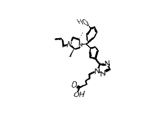 C=CCN1C[C@H](C)N([C@H](c2ccc(-c3ncnn3CCCCC(=O)O)cc2)c2cccc(O)c2)C[C@H]1C